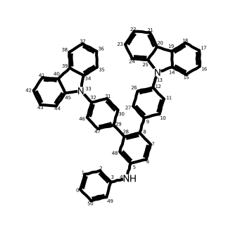 c1ccc(Nc2ccc(-c3ccc(-n4c5ccccc5c5ccccc54)cc3)c(-c3ccc(-n4c5ccccc5c5ccccc54)cc3)c2)cc1